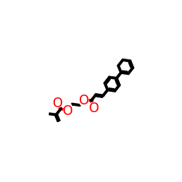 C=C(C)C(=O)OCCOC(=O)/C=C/c1ccc(C2=CC=CCC2)cc1